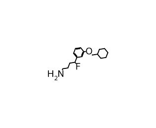 NCCCC(F)c1cccc(OCC2CCCCC2)c1